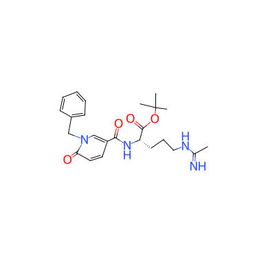 CC(=N)NCCC[C@H](NC(=O)c1ccc(=O)n(Cc2ccccc2)c1)C(=O)OC(C)(C)C